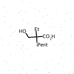 CCCC(C)C(CC)(CO)C(=O)O